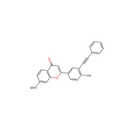 COc1ccc2c(=O)cc(-c3ccc(C#N)c(C#Cc4ccccc4)c3)oc2c1